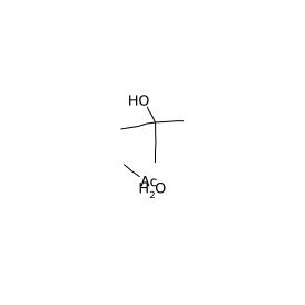 CC(C)(C)O.CC(C)=O.O